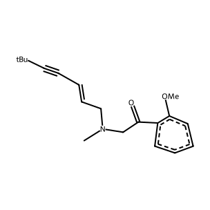 COc1ccccc1C(=O)CN(C)C/C=C/C#CC(C)(C)C